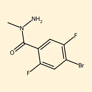 CN(N)C(=O)c1cc(F)c(Br)cc1F